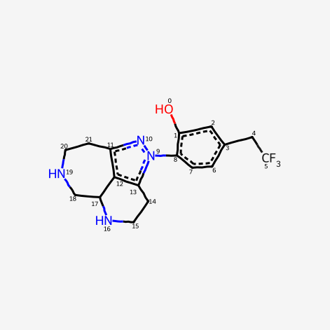 Oc1cc(CC(F)(F)F)ccc1-n1nc2c3c1CCNC3CNCC2